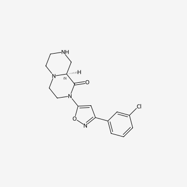 O=C1[C@@H]2CNCCN2CCN1c1cc(-c2cccc(Cl)c2)no1